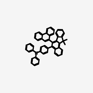 CC1(C)c2ccccc2-c2c(-c3cc4ccccc4c4ccccc34)c(-c3ccc(N(c4ccccc4)c4ccccc4)cc3)c3ccccc3c21